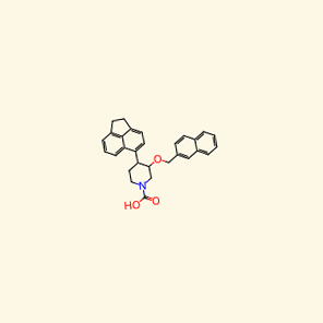 O=C(O)N1CCC(c2ccc3c4c(cccc24)CC3)C(OCc2ccc3ccccc3c2)C1